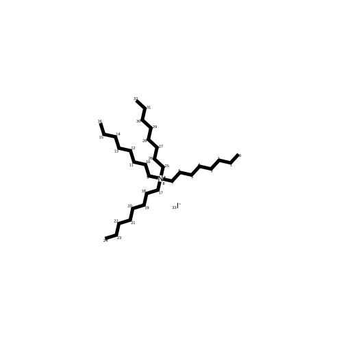 CCCCCCCC[N+](CCCCCCCC)(CCCCCCCC)CCCCCCCC.[I-]